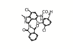 Cn1nc(N2C(=O)c3ccccc3C2=O)c2c(Oc3cc(F)ccc3Cl)c(NC(=O)O)cc(Cl)c21